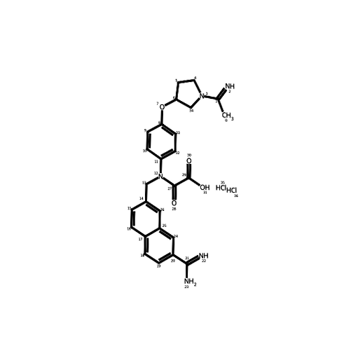 CC(=N)N1CCC(Oc2ccc(N(Cc3ccc4ccc(C(=N)N)cc4c3)C(=O)C(=O)O)cc2)C1.Cl.Cl